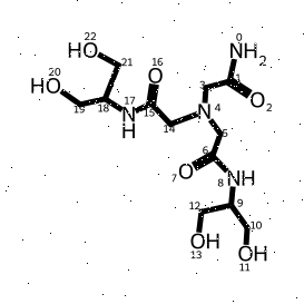 NC(=O)CN(CC(=O)NC(CO)CO)CC(=O)NC(CO)CO